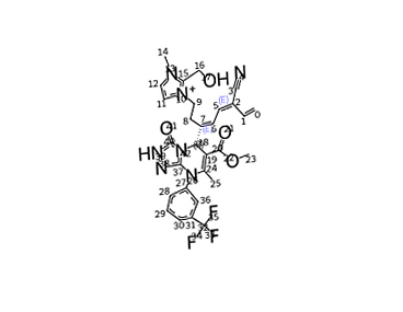 C=C/C(C#N)=C\C=C(/CC[n+]1ccn(C)c1CO)[C@@H]1C(C(=O)OC)=C(C)N(c2cccc(C(F)(F)F)c2)c2n[nH]c(=O)n21